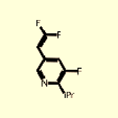 CC(C)c1ncc(C=C(F)F)cc1F